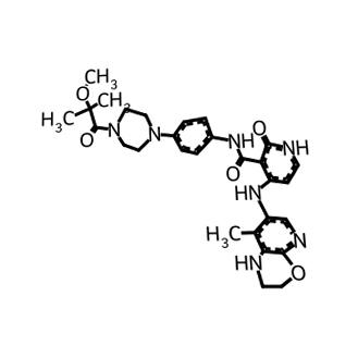 COC(C)(C)C(=O)N1CCN(c2ccc(NC(=O)c3c(Nc4cnc5c(c4C)NCCO5)cc[nH]c3=O)cc2)CC1